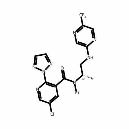 CCN(C(=O)c1cc(Cl)cnc1-n1nccn1)[C@@H](C)CNc1cnc(C(F)(F)F)cn1